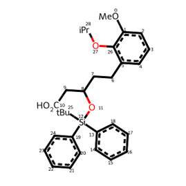 COc1cccc(CCC(CC(=O)O)O[Si](c2ccccc2)(c2ccccc2)C(C)(C)C)c1OC(C)C